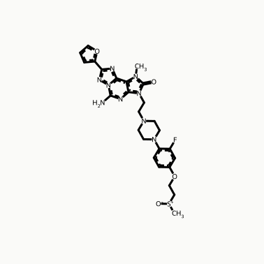 Cn1c(=O)n(CCN2CCN(c3ccc(OCC[S+](C)[O-])cc3F)CC2)c2nc(N)n3nc(-c4ccco4)nc3c21